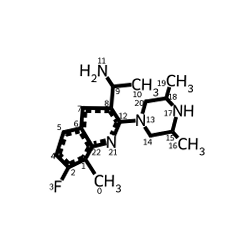 Cc1c(F)ccc2cc(C(C)N)c(N3CC(C)NC(C)C3)nc12